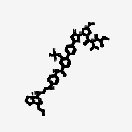 COCC(=O)N1CCC[C@@]1(C)C(=O)NCCNc1ccc(NC(=O)c2ccc(-c3ccc(-c4c[nH]c([C@@H]5C[C@H](SC)CN5C(=O)[C@@H](NC(=O)OC)C(C)C)n4)cc3)c(OC(F)(F)F)c2)cn1